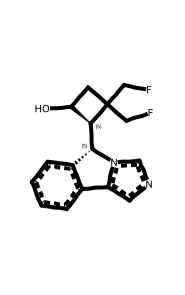 OC1CC(CF)(CF)[C@H]1[C@H]1c2ccccc2-c2cncn21